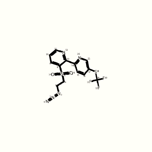 [N-]=[N+]=NCCS(=O)(=O)c1cccnc1-c1ccc(SC(F)(F)F)cn1